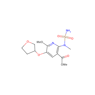 COC(=O)c1cc(OC2CCOC2)c(OC)nc1N(C)S(N)(=O)=O